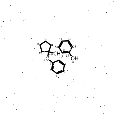 CC1(Oc2ccccc2)CCCC1.Oc1ccccc1